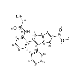 COC(=O)c1cc2[nH]c(-c3ccccc3NC(=O)CCl)c(-c3ccccc3)c2s1